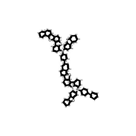 c1ccc(-c2ccc(N(c3ccc4c(c3)oc3ccccc34)c3cccc4c3sc3ccc5c6ccc7cc(-c8ccc(N(c9ccc%10c(c9)sc9ccccc9%10)c9cccc%10c9sc9ccc%11c%12ccc%13ccccc%13c%12oc%11c9%10)cc8)ccc7c6oc5c34)cc2)cc1